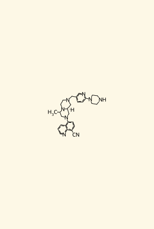 C[C@@H]1CN(c2ccc(C#N)c3ncccc23)C[C@@H]2CN(Cc3ccc(N4CCNCC4)nc3)CCN21